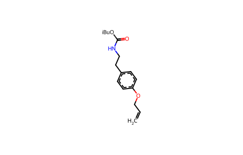 C=CCOc1ccc(CCNC(=O)OCC(C)C)cc1